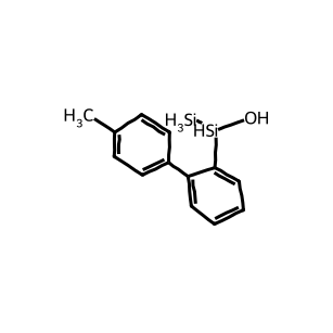 Cc1ccc(-c2ccccc2[SiH](O)[SiH3])cc1